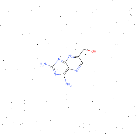 Nc1nc(N)c2ncc(CO)nc2n1